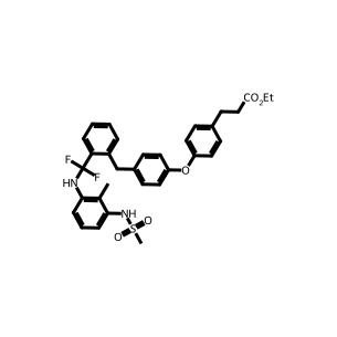 CCOC(=O)CCc1ccc(Oc2ccc(Cc3ccccc3C(F)(F)Nc3cccc(NS(C)(=O)=O)c3C)cc2)cc1